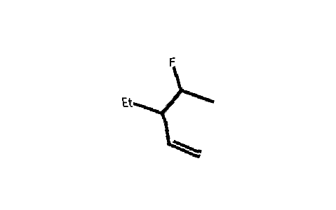 C=CC(CC)C(C)F